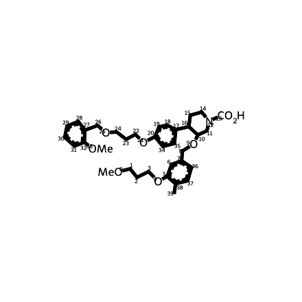 COCCCOc1cc(COC2CN(C(=O)O)CCC2c2ccc(OCCCOCc3ccccc3OC)cc2)ccc1C